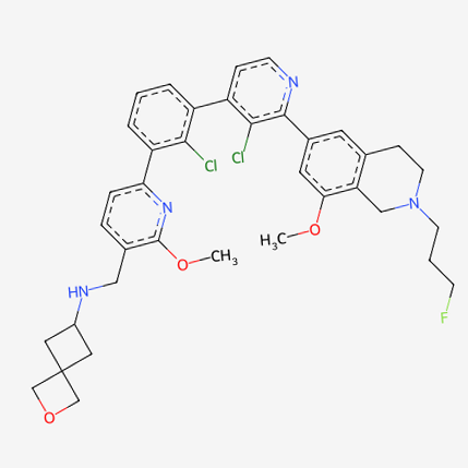 COc1cc(-c2nccc(-c3cccc(-c4ccc(CNC5CC6(COC6)C5)c(OC)n4)c3Cl)c2Cl)cc2c1CN(CCCF)CC2